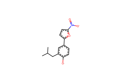 CC(C)Cc1cc(-c2ccc([N+](=O)[O-])o2)ccc1[O]